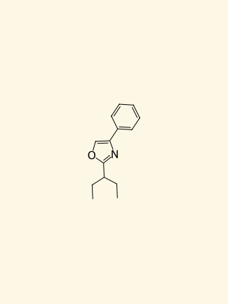 CCC(CC)c1nc(-c2ccccc2)co1